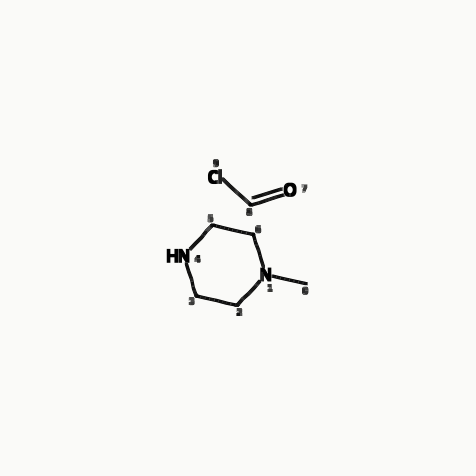 CN1CCNCC1.O=CCl